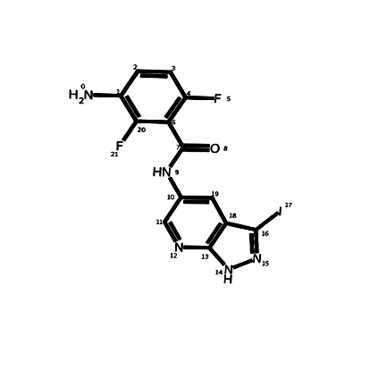 Nc1ccc(F)c(C(=O)Nc2cnc3[nH]nc(I)c3c2)c1F